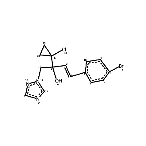 OC(C=Cc1ccc(Br)cc1)(Cn1cncn1)C1(Cl)CC1